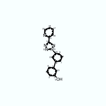 Oc1cccc(-c2cccc(-n3nnc(-c4ccccn4)n3)c2)c1